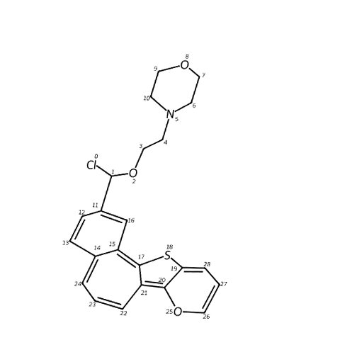 ClC(OCCN1CCOCC1)c1ccc2c(c1)=c1sc3c(c1C=CC=2)OC=CC=3